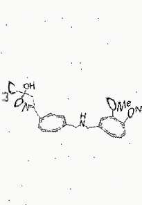 COc1ccc(CNCc2ccc(C3=NOC(O)(C(F)(F)F)C3)cc2)cc1OC